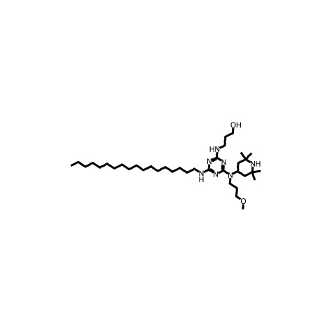 CCCCCCCCCCCCCCCCCCNc1nc(NCCCO)nc(N(CCCOC)C2CC(C)(C)NC(C)(C)C2)n1